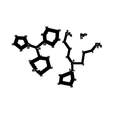 CCCCP(CCCC)[c-]1cccc1.[Fe+2].c1ccc(P(c2ccccc2)[c-]2cccc2)cc1